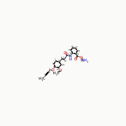 CC#CCOc1ccc(/C=C/C(=O)Nc2ccccc2C(=O)ON)cc1OC